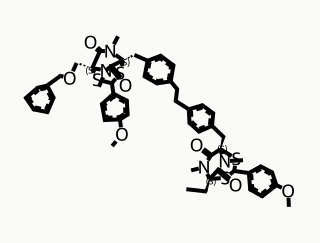 CC[C@@]12SC(c3ccc(OC)cc3)S[C@@](Cc3ccc(CCc4ccc(C[C@@]56SC(c7ccc(OC)cc7)S[C@@](COCc7ccccc7)(C(=O)N5C)N(C)C6=O)cc4)cc3)(C(=O)N1C)N(C)C2=O